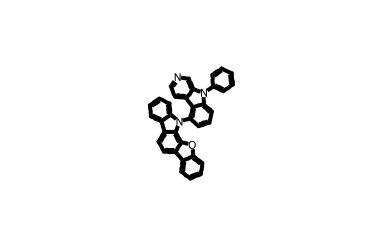 c1ccc(-n2c3cnccc3c3c(-n4c5ccccc5c5ccc6c7ccccc7oc6c54)cccc32)cc1